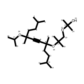 CC(C)CCC(C)(C#CC(C)(CCC(C)C)OC(C)(C)COC(C)(C)O)OC(C)C